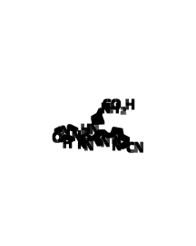 N#Cc1cnn2c(-c3cc(NC4CC(CNC(=O)O)C4)c(-c4nnc(N5CCN6CCOC[C@H]6C5)s4)cn3)ccc2c1